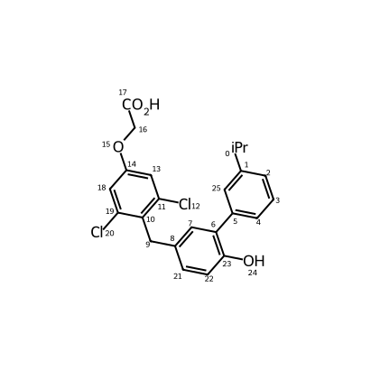 CC(C)c1cccc(-c2cc(Cc3c(Cl)cc(OCC(=O)O)cc3Cl)ccc2O)c1